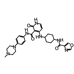 CN1CCN(c2ccc(NC(=O)c3c(NC4CCC(NC(=O)c5cocn5)CC4)cc[nH]c3=O)cc2)CC1